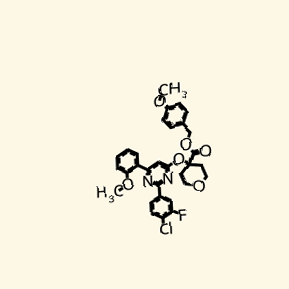 COc1ccc(COC(=O)C2(Oc3cc(-c4ccccc4OC)nc(-c4ccc(Cl)c(F)c4)n3)CCOCC2)cc1